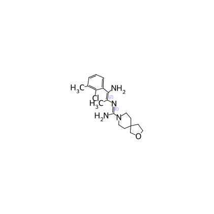 CC(/N=C(\N)N1CCC2(CCOC2)CC1)=C(/N)c1cccc(C)c1Cl